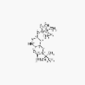 CC(C)(C)N(CC1CNCC(O[Si](C)(C)C(C)(C)C)C1)C(=O)O